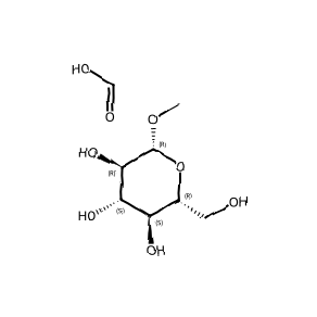 CO[C@@H]1O[C@H](CO)[C@@H](O)[C@H](O)[C@H]1O.O=CO